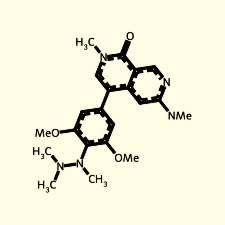 CNc1cc2c(-c3cc(OC)c(N(C)N(C)C)c(OC)c3)cn(C)c(=O)c2cn1